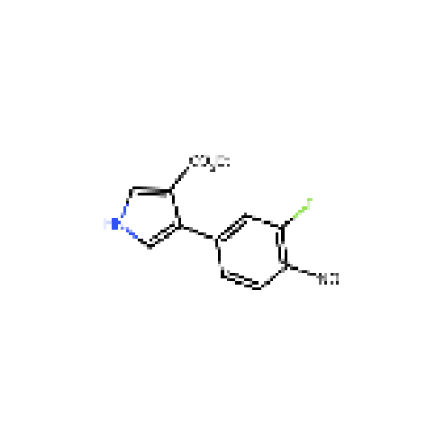 CCOC(=O)c1c[nH]cc1-c1ccc(N=O)c(F)c1